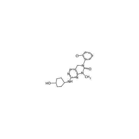 CN1C(=O)N(c2ccccc2Cl)Cc2cnc(NC3CCC(O)CC3)nc21